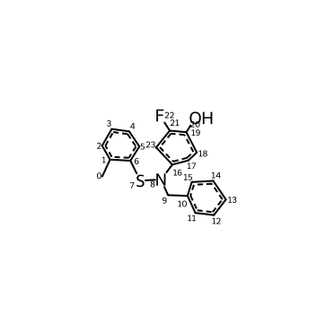 Cc1ccccc1SN(Cc1ccccc1)c1ccc(O)c(F)c1